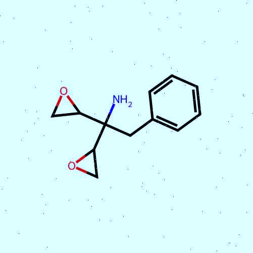 NC(Cc1ccccc1)(C1CO1)C1CO1